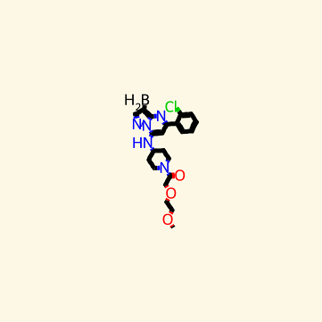 Bc1cnn2c(NC3CCN(C(=O)COCCOC)CC3)cc(-c3ccccc3Cl)nc12